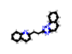 c1ccc2nc(CCc3nc4ccc5ccccc5n4n3)ccc2c1